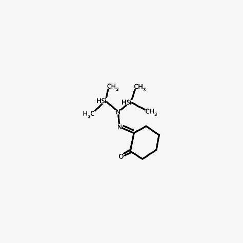 C[SiH](C)N(N=C1CCCCC1=O)[SiH](C)C